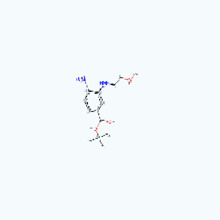 COCCNc1cc(C(=O)OC(C)(C)C)ccc1N